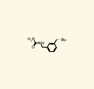 CC[C@@H](C)Cc1cccc(CNC(N)=O)c1